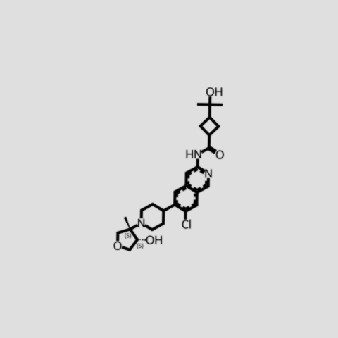 CC(C)(O)C1CC(C(=O)Nc2cc3cc(C4CCN([C@@]5(C)COC[C@H]5O)CC4)c(Cl)cc3cn2)C1